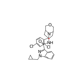 O=C(NC1CC2COCC(C1)N2Cc1ccc(Cl)cc1Cl)c1nn(CC2CC2)c2ccccc12